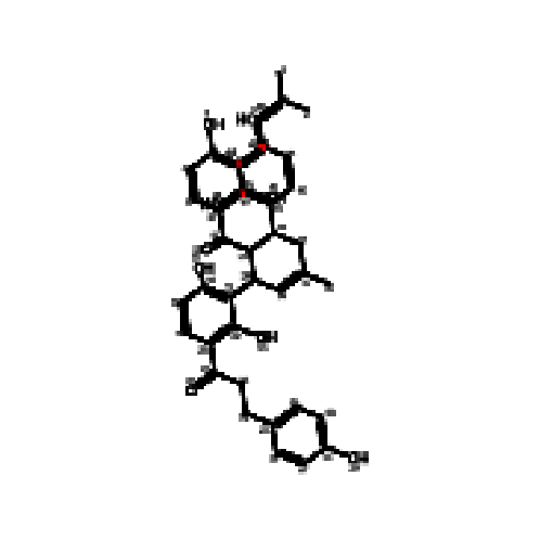 CC(C)=CCc1c(O)ccc(C(=O)C2C(c3c(O)ccc(C(=O)CCc4ccc(O)cc4)c3O)C=C(C)CC2c2ccc(O)cc2O)c1O